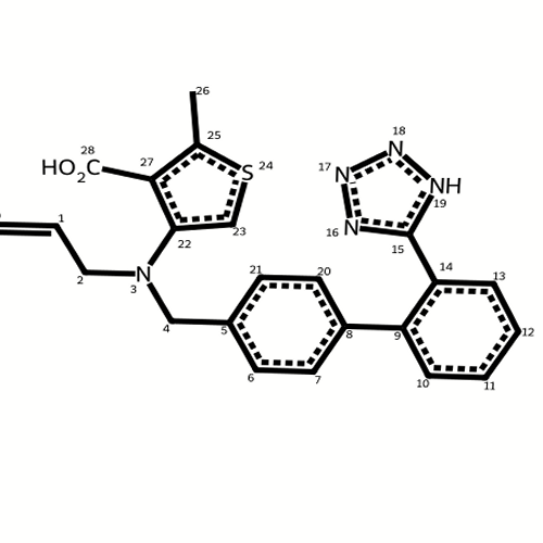 C=CCN(Cc1ccc(-c2ccccc2-c2nnn[nH]2)cc1)c1csc(C)c1C(=O)O